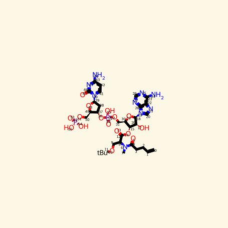 C=CCCC(=O)N(C)C(COC(C)(C)C)C(=O)O[C@H]1[C@@H](O)[C@H](n2cnc3c(N)ncnc32)O[C@@H]1COP(=O)(O)O[C@H]1C[C@H](n2ccc(N)nc2=O)O[C@@H]1COP(=O)(O)O